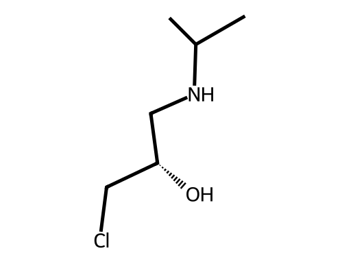 CC(C)NC[C@H](O)CCl